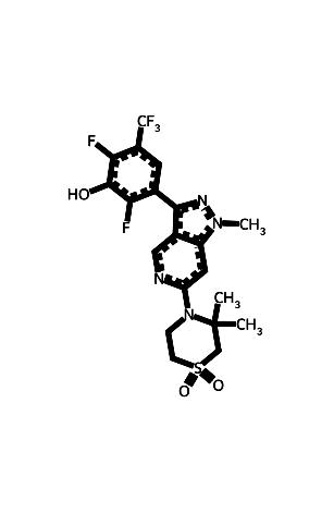 Cn1nc(-c2cc(C(F)(F)F)c(F)c(O)c2F)c2cnc(N3CCS(=O)(=O)CC3(C)C)cc21